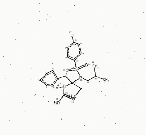 CCC(Cc1ccccc1)(N(O)C(=O)O)N(CC(C)C)S(=O)(=O)c1ccc(Cl)cc1